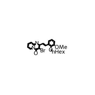 CCCCCCOc1c(/C=C/c2nc3ccccn3c(=O)c2Br)cccc1OC